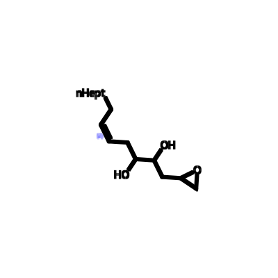 CCCCCCCC/C=C\CC(O)C(O)CC1CO1